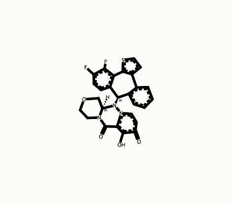 O=C1c2c(O)c(=O)ccn2N([C@@H]2c3ccccc3-c3ccsc3-c3c2ccc(F)c3F)[C@@H]2COCCN12